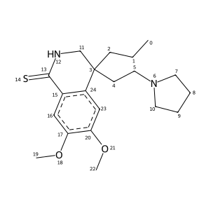 CCCC1(CCN2CCCC2)CNC(=S)c2cc(OC)c(OC)cc21